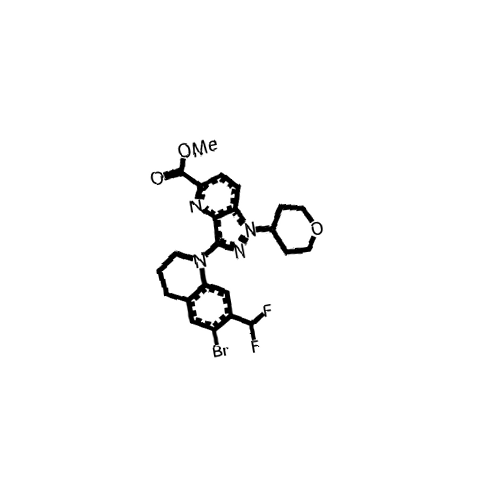 COC(=O)c1ccc2c(n1)c(N1CCCc3cc(Br)c(C(F)F)cc31)nn2C1CCOCC1